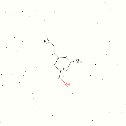 CCCC(CCCO)CC(C)C